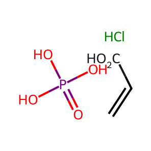 C=CC(=O)O.Cl.O=P(O)(O)O